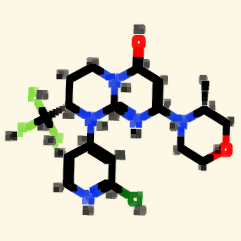 C[C@@H]1COCCN1c1cc(=O)n2c(n1)N(c1ccnc(Cl)c1)[C@H](C(F)(F)F)CC2